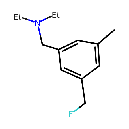 CCN(CC)Cc1cc(C)cc(CF)c1